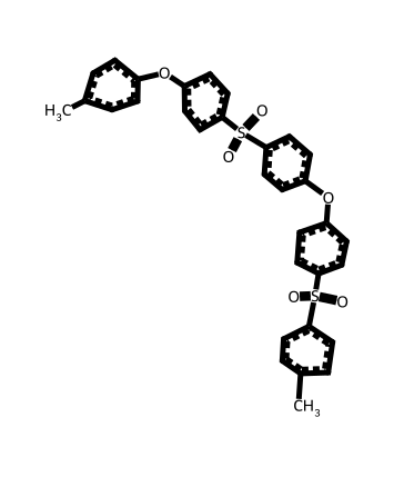 Cc1ccc(Oc2ccc(S(=O)(=O)c3ccc(Oc4ccc(S(=O)(=O)c5ccc(C)cc5)cc4)cc3)cc2)cc1